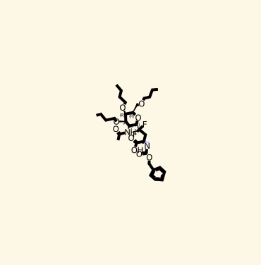 CCCCOC[C@H]1O[C@H](C(F)(F)C/C(=N/C(=O)OCc2ccccc2)C(=O)O)[C@H](NC(C)=O)[C@@H](OCCCC)[C@H]1OCCCC